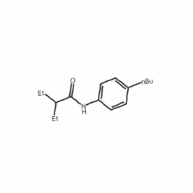 CCCCc1ccc(NC(=O)C(CC)CC)cc1